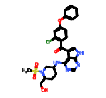 CS(=O)(=O)N1CC(Nc2ncnc3[nH]cc(C(=O)c4ccc(Oc5ccccc5)cc4Cl)c23)CCC1CO